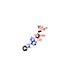 CCOP(=O)(/C=C/[C@H]1O[C@@H](n2nnc3c(NC(=O)c4ccccc4)ncnc32)[C@H](O)[C@@H]1O)OCC